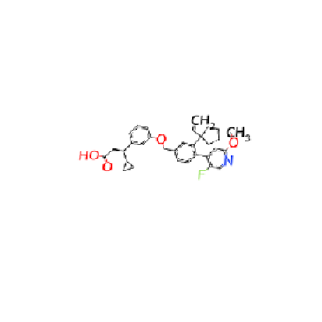 C=CC1(c2cc(COc3cccc([C@H](CC(=O)O)C4CC4)c3)ccc2-c2cc(OC)ncc2F)CCCC1